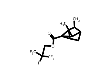 CC1C2CC3C1C3(C(=O)OCC(F)(C(F)(F)F)C(F)(F)F)C2C